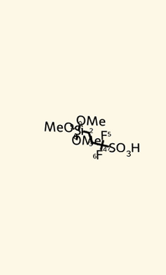 CO[Si](CCC(F)(F)S(=O)(=O)O)(OC)OC